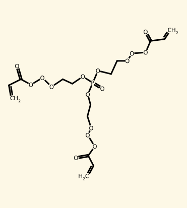 C=CC(=O)OOOCCOP(=O)(OCCOOOC(=O)C=C)OCCOOOC(=O)C=C